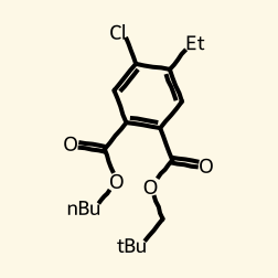 CCCCOC(=O)c1cc(Cl)c(CC)cc1C(=O)OCC(C)(C)C